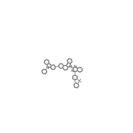 CC1(C)c2ccccc2-c2ccc(-c3nc(-n4c5ccccc5c5c6ccc(-c7ccc8c(c7)c7ccccc7n8-c7ccccc7)cc6ccc54)nc4ccccc34)cc21